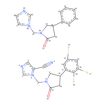 N#Cc1cncn1CN1CC(c2cc(F)cc(F)c2F)CC1=O.O=C1CC(c2ccccc2)CN1Cn1ccnc1